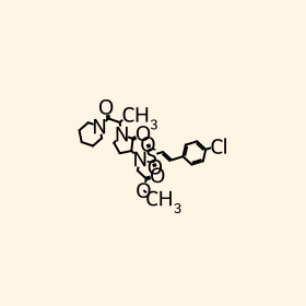 COC(=O)CN(C1CCN(C(C)C(=O)N2CCCCC2)C1=O)S(=O)(=O)C=Cc1ccc(Cl)cc1